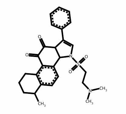 CC1CCCc2c1ccc1c2C(=O)C(=O)C2C(c3ccccc3)=CN(S(=O)(=O)CCN(C)C)C12